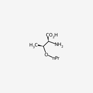 CCCO[C@@H](C)[C@H](N)C(=O)O